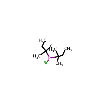 CCC(C)(C)P(Br)C(C)(C)CC